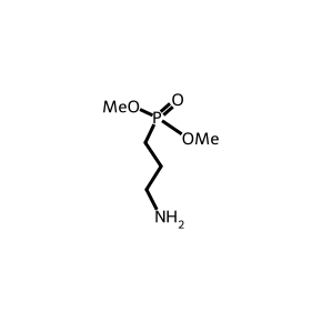 COP(=O)(CCCN)OC